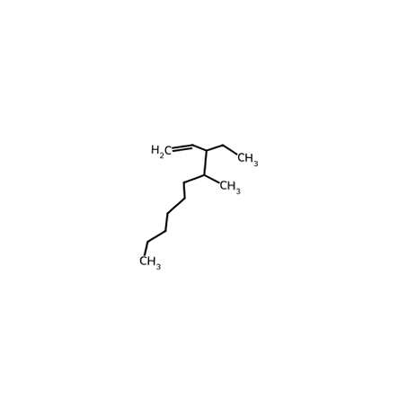 C=CC(CC)C(C)CCCCCC